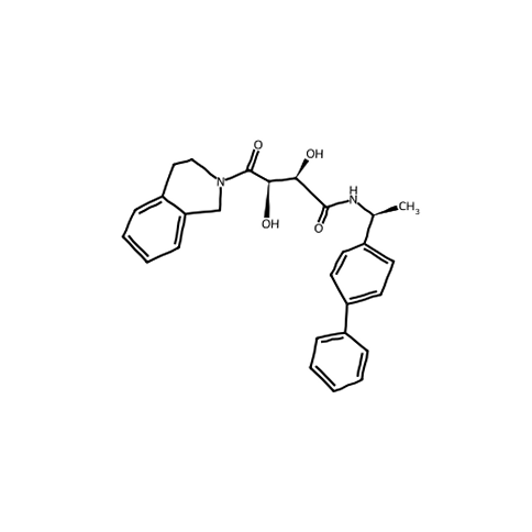 C[C@H](NC(=O)[C@H](O)[C@@H](O)C(=O)N1CCc2ccccc2C1)c1ccc(-c2ccccc2)cc1